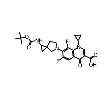 CC(C)(C)OC(=O)NC1CC12CCN(c1c(F)cc3c(=O)c(C(=O)O)cn(C4CC4)c3c1F)C2